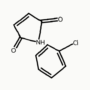 Clc1ccccc1.O=C1C=CC(=O)N1